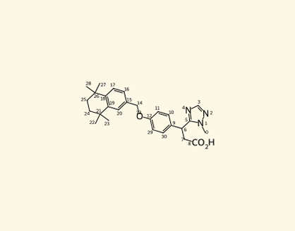 Cn1ncnc1C(CC(=O)O)c1ccc(OCc2ccc3c(c2)C(C)(C)CCC3(C)C)cc1